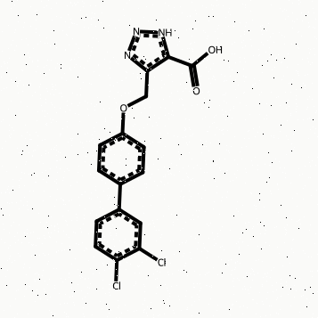 O=C(O)c1[nH]nnc1COc1ccc(-c2ccc(Cl)c(Cl)c2)cc1